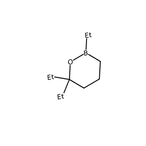 CCB1CCCC(CC)(CC)O1